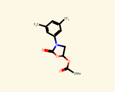 COC(=O)OC1CN(c2cc(C(F)(F)F)cc(C(F)(F)F)c2)C(=O)O1